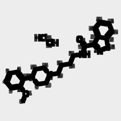 COc1ccccc1N1CCN(CCCCNC(=O)c2nsc3ccccc23)CC1.Cl.Cl